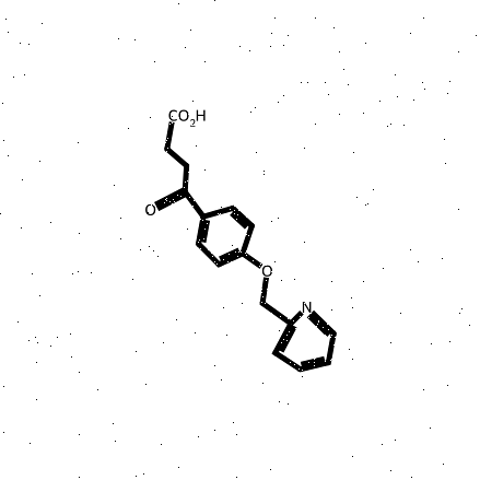 O=C(O)CCC(=O)c1ccc(OCc2ccccn2)cc1